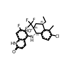 CC[C@@H]1C[C@](O)(C(F)(F)F)[C@@H](Nc2cc(F)cc3[nH]c(=O)ccc23)c2ccc(Cl)c(C)c21